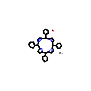 C1=Cc2nc1c(-c1ccccc1)c1ccc([nH]1)c(-c1ccccc1)c1nc(c(-c3ccccc3)c3ccc([nH]3)c2-c2ccccc2)C=C1.[C]=O.[Ru]